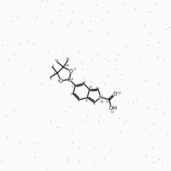 CC1(C)OB(c2ccc3cn(C(=O)O)cc3c2)OC1(C)C